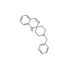 C1=NC2(CCN(Cc3ccccc3)CC2)Nc2ccccc21